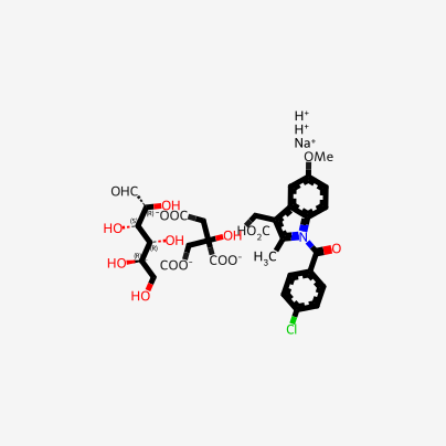 COc1ccc2c(c1)c(CC(=O)O)c(C)n2C(=O)c1ccc(Cl)cc1.O=C([O-])CC(O)(CC(=O)[O-])C(=O)[O-].O=C[C@H](O)[C@@H](O)[C@H](O)[C@H](O)CO.[H+].[H+].[Na+]